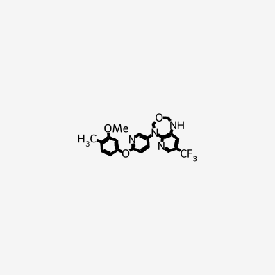 COc1cc(Oc2ccc(N3COCNc4cc(C(F)(F)F)cnc43)cn2)ccc1C